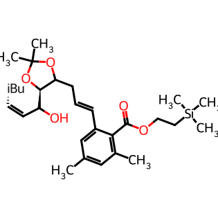 CC[C@@H](C)/C=C\C(O)[C@H]1OC(C)(C)OC1C/C=C/c1cc(C)cc(C)c1C(=O)OCC[Si](C)(C)C